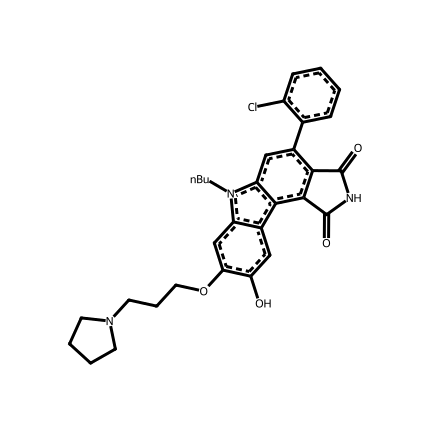 CCCCn1c2cc(OCCCN3CCCC3)c(O)cc2c2c3c(c(-c4ccccc4Cl)cc21)C(=O)NC3=O